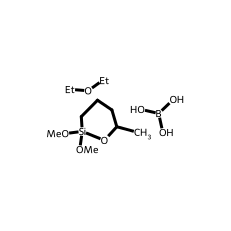 CCOCC.CO[Si]1(OC)CCCC(C)O1.OB(O)O